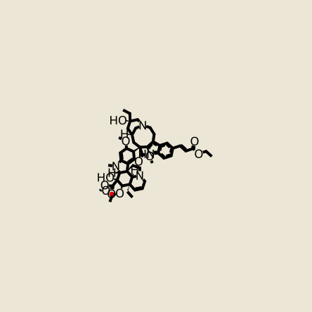 CCOC(=O)/C=C/c1ccc2[nH]c3c(c2c1)CCN1C[C@H](C[C@@](O)(CC)C1)C[C@]3(C(=O)OC)C1C=C2C(=CC1OC)N(C)[C@H]1[C@@](O)(C(=O)OC)[C@H](OC(C)=O)[C@]3(CC)C=CCN4CC[C@]21[C@@H]43